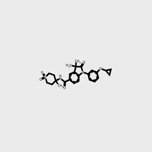 CC1(NC(=O)c2ccc3c(c2)C(C)(C)C(=O)N3c2cccc(OC3CC3)c2)CCS(=O)(=O)CC1